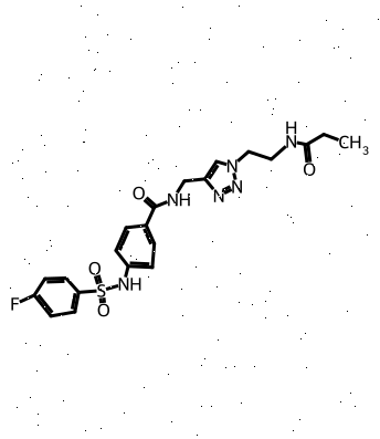 CCC(=O)NCCn1cc(CNC(=O)c2ccc(NS(=O)(=O)c3ccc(F)cc3)cc2)nn1